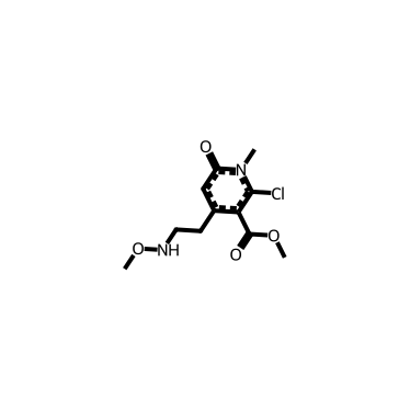 CONCCc1cc(=O)n(C)c(Cl)c1C(=O)OC